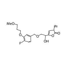 COCCCOc1cc(COCC(O)C2=CC(C(C)C)C(=O)O2)ccc1F